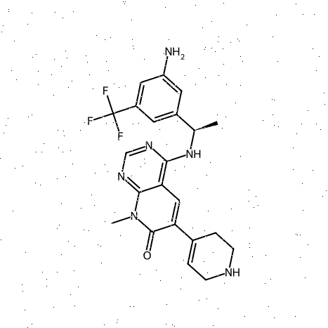 C[C@@H](Nc1ncnc2c1cc(C1=CCNCC1)c(=O)n2C)c1cc(N)cc(C(F)(F)F)c1